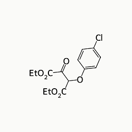 CCOC(=O)C(=O)C(Oc1ccc(Cl)cc1)C(=O)OCC